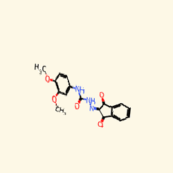 COc1ccc(NC(=O)NN=c2c(=O)c3ccccc3c2=O)cc1OC